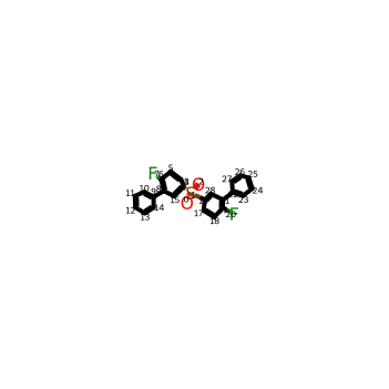 O=S(=O)(c1ccc(F)c(-c2ccccc2)c1)c1ccc(F)c(-c2ccccc2)c1